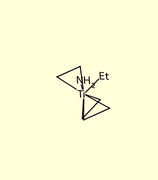 C[CH2][Ti]123([NH2])([CH2][CH2]1)([CH2][CH2]2)[CH2][CH2]3